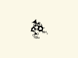 CCOC(=O)[C@H]1CCN(C(=O)OC(C)(C)C)[C@@H]1c1cc(N)ccc1S(=O)(=O)C1CC1